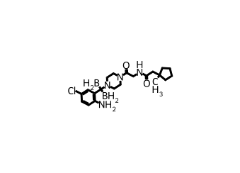 BC(B)(c1cc(Cl)ccc1N)N1CCN(C(=O)CNC(=O)CC2(C)CCCC2)CC1